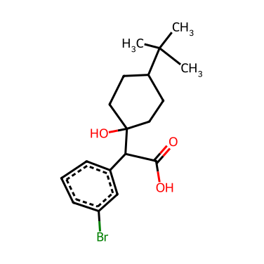 CC(C)(C)C1CCC(O)(C(C(=O)O)c2cccc(Br)c2)CC1